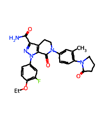 CCOc1ccc(-n2nc(C(N)=O)c3c2C(=O)N(c2ccc(N4CCCC4=O)c(C)c2)CC3)cc1F